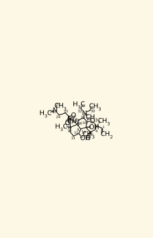 C=C[C@@]1(C)CC(=O)[C@]2(O)[C@@]3(C)[C@@H](O)CCC(C)(C)[C@@H]3[C@H](OC(=O)CCN(C)C)[C@H](N(CC)CC)[C@@]2(C)O1